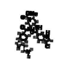 COC(=O)N1CCC(NC(=O)c2ccc3c(Cl)c[nH]c3c2)C(NC(=O)c2ccc(C3(CCN(C)C)CC3)cc2)C1